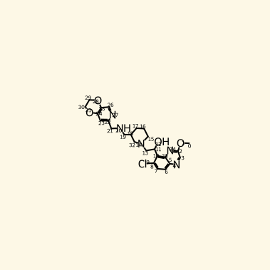 COc1cnc2ccc(Cl)c(C(O)CN3CCCC(CNCc4cc5c(cn4)OCCO5)C3)c2n1